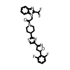 O=C(Cn1c(C(F)F)nc2ccccc21)N1CCC(c2nc(C3=NOC(c4c(F)cccc4F)C3)cs2)CC1